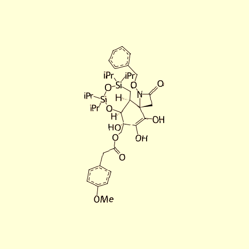 COc1ccc(CC(=O)OC[C@]2(O)C(O)=C(O)[C@]3(CC(=O)N3OCc3ccccc3)[C@@H]3C[Si](C(C)C)(C(C)C)O[Si](C(C)C)(C(C)C)O[C@@H]32)cc1